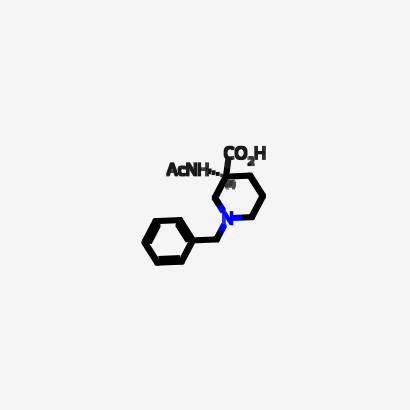 CC(=O)N[C@]1(C(=O)O)CCCN(Cc2ccccc2)C1